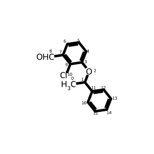 CC(Oc1cccc(C=O)c1Cl)c1ccccc1